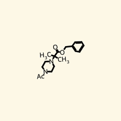 CC(=O)N1CCN(C(C)(C)C(=O)OCc2ccccc2)CC1